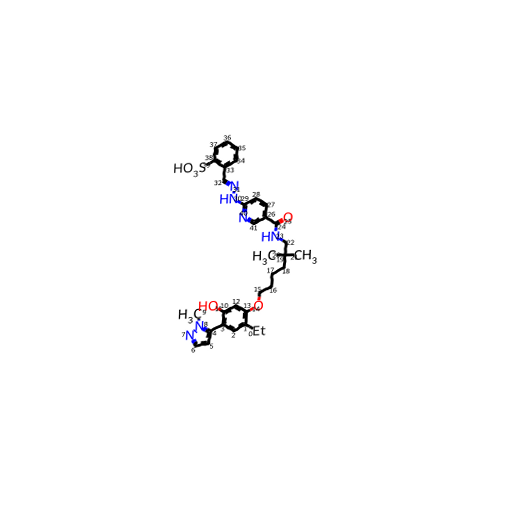 CCc1cc(-c2ccnn2C)c(O)cc1OCCCCC(C)(C)CNC(=O)c1ccc(NN=Cc2ccccc2S(=O)(=O)O)nc1